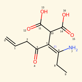 C=CCC(=O)/C(=C(/N)CC)C(C(=O)O)C(=O)O